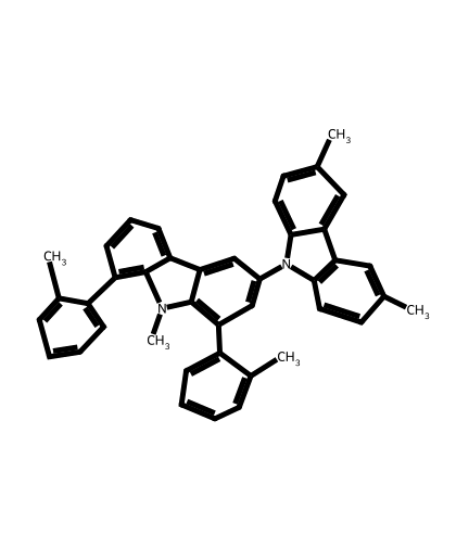 Cc1ccc2c(c1)c1cc(C)ccc1n2-c1cc(-c2ccccc2C)c2c(c1)c1cccc(-c3ccccc3C)c1n2C